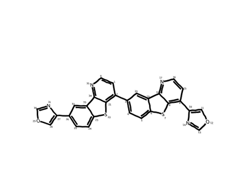 c1cc(-c2ccc3sc4c(-c5cocn5)ccnc4c3c2)c2sc3ccc(-c4cocn4)cc3c2n1